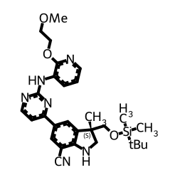 COCCOc1ncccc1Nc1nccc(-c2cc(C#N)c3c(c2)[C@](C)(CO[Si](C)(C)C(C)(C)C)CN3)n1